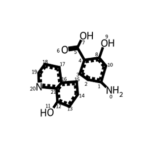 Nc1ccc(C(=O)O)c(O)c1.Oc1cccc2cccnc12